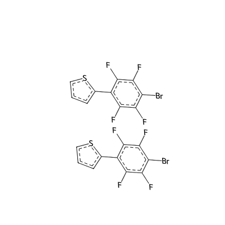 Fc1c(F)c(-c2cccs2)c(F)c(F)c1Br.Fc1c(F)c(-c2cccs2)c(F)c(F)c1Br